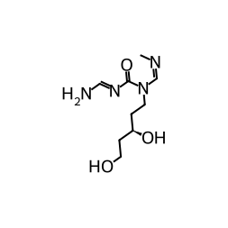 C/N=C\N(CC[C@@H](O)CCO)C(=O)/N=C/N